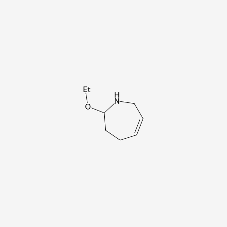 CCOC1CCC=CCN1